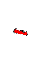 O=C(Nc1ccc(-c2ccc(NC(=O)c3ccc4c(c3)C(=O)OC4=O)cc2C(F)(F)F)c(C(F)(F)F)c1)c1ccc2c(c1)C(=O)OC2=O